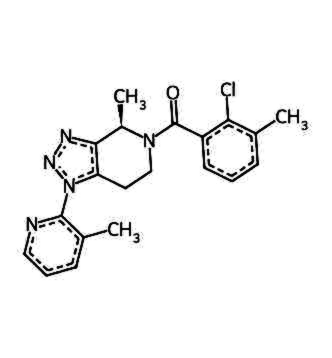 Cc1cccnc1-n1nnc2c1CCN(C(=O)c1cccc(C)c1Cl)[C@@H]2C